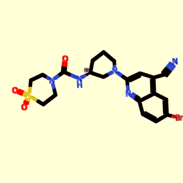 N#Cc1cc(N2CCC[C@H](NC(=O)N3CCS(=O)(=O)CC3)C2)nc2ccc(Br)cc12